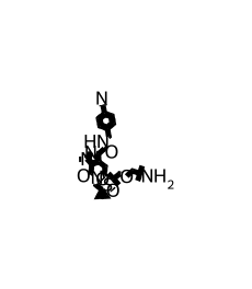 Cn1nc(C(=O)NCc2ccc(C#N)cc2)c2c1C(=O)N(CC1(S(=O)(=O)C(C)(C)COCC(C)(C)N)CC1)CC2